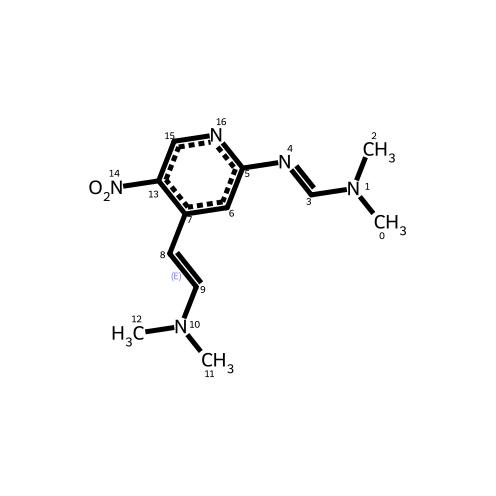 CN(C)C=Nc1cc(/C=C/N(C)C)c([N+](=O)[O-])cn1